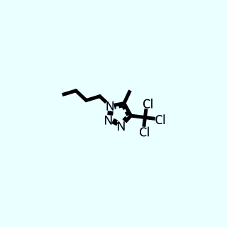 CCCCn1nnc(C(Cl)(Cl)Cl)c1C